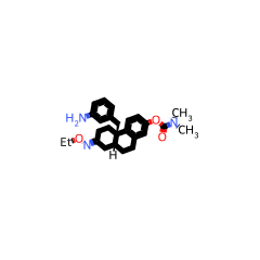 CCON=C1CC[C@]2(Cc3cccc(N)c3)c3ccc(OC(=O)N(C)C)cc3CC[C@H]2C1